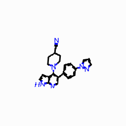 N#CC1CCN(c2c(-c3ccc(-n4cccn4)cc3)cnc3[nH]ccc23)CC1